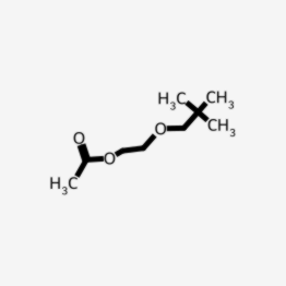 CC(=O)OCCOCC(C)(C)C